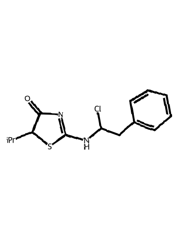 CC(C)C1SC(NC(Cl)Cc2ccccc2)=NC1=O